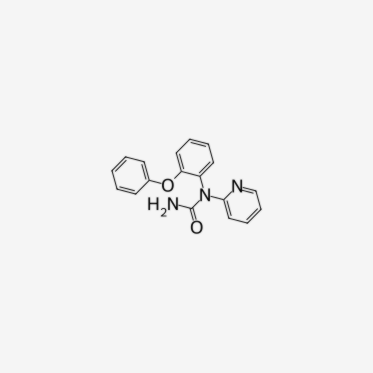 NC(=O)N(c1ccccn1)c1ccccc1Oc1ccccc1